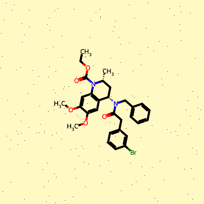 CCOC(=O)N1c2cc(OC)c(OC)cc2[C@@H](N(Cc2ccccc2)C(=O)Cc2cccc(Br)c2)C[C@H]1C